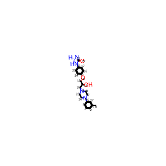 Cc1cccc(N2CCN(C[C@H](O)COc3ccc(NC(N)=O)cc3)CC2)c1